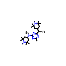 CCCCN(c1nc(C)nc(C(CCC)C2CC(C)(C)N(C)C(C)(C)C2)n1)C1CC(C)(C)N(C)C(C)(C)C1